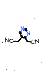 N#CCc1cncnc1CC#N